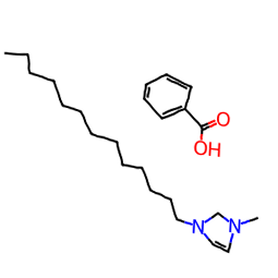 CCCCCCCCCCCCCN1C=CN(C)C1.O=C(O)c1ccccc1